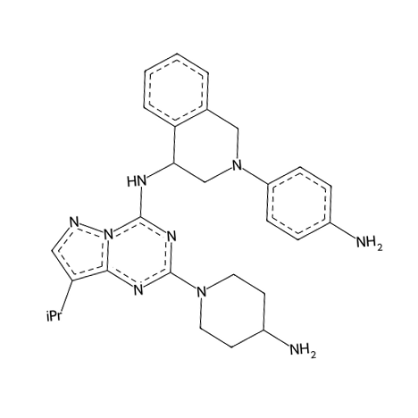 CC(C)c1cnn2c(NC3CN(c4ccc(N)cc4)Cc4ccccc43)nc(N3CCC(N)CC3)nc12